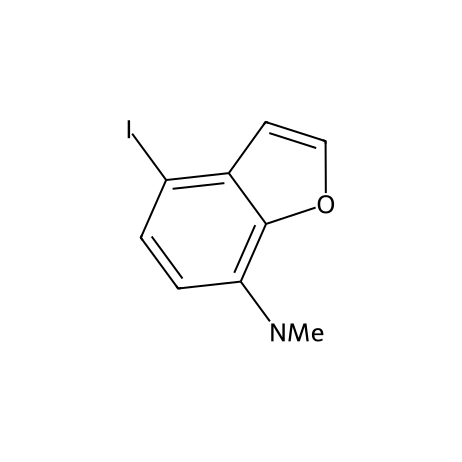 CNc1ccc(I)c2ccoc12